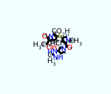 CC(=N)NC1CCN(C(=O)C2CC(SC3=C(C(=O)O)N4C(=O)C(C(C)O)[C@@H]4C3C)CN2C)C1